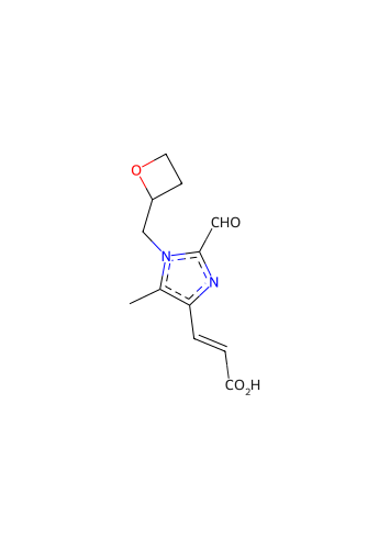 Cc1c(/C=C/C(=O)O)nc(C=O)n1CC1CCO1